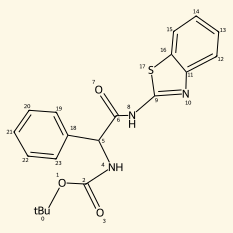 CC(C)(C)OC(=O)NC(C(=O)Nc1nc2ccccc2s1)c1ccccc1